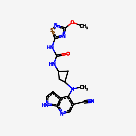 COc1nsc(NC(=O)NC2CC(N(C)c3c(C#N)cnc4[nH]ccc34)C2)n1